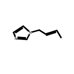 C/C=C/Cn1ccnc1